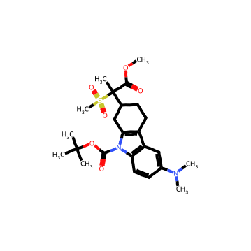 COC(=O)C(C)(C1CCc2c(n(C(=O)OC(C)(C)C)c3ccc(N(C)C)cc23)C1)S(C)(=O)=O